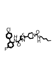 CCCCCNC(=O)N1CCC(c2nc(C(=O)Nc3ccc(F)cc3-c3ccc(Cl)cc3)cs2)CC1